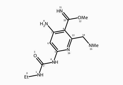 CCNC(=O)Nc1cc(N)c(C(=N)OC)c(CNC)n1